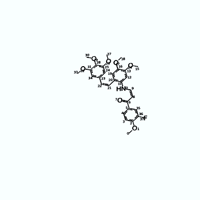 COc1ccc(C(=O)/C=C\Nc2cc(OC)c(OC)cc2/C=C\c2cc(OC)c(OC)c(OC)c2)cc1F